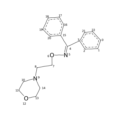 c1ccc(C(=NOCCN2CCOCC2)c2ccccc2)cc1